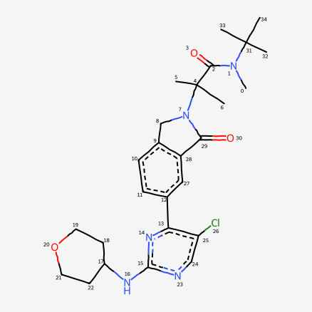 CN(C(=O)C(C)(C)N1Cc2ccc(-c3nc(NC4CCOCC4)ncc3Cl)cc2C1=O)C(C)(C)C